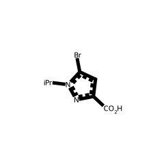 CC(C)n1nc(C(=O)O)cc1Br